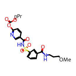 CCCOC(=O)Oc1ccc(C(=O)NS(=O)(=O)c2cccc(C(=O)NCCCOC)c2)cn1